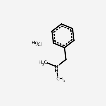 C[NH+](C)Cc1ccccc1.[Cl-].[Hg]